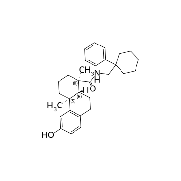 C[C@@]1(C(=O)NCC2(c3ccccc3)CCCCC2)CCC[C@]2(C)c3cc(O)ccc3CC[C@@H]12